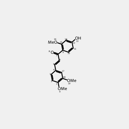 COc1ccc(C=CC(=O)c2ccc(O)cc2OC)cc1OC